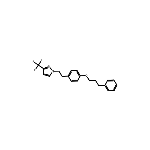 FC(F)(F)c1ccn(CCc2ccc(OCCCc3ccccc3)cc2)n1